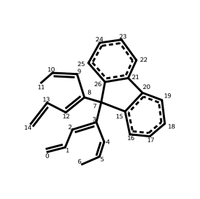 C=C/C=C(\C=C/C)C1(C(/C=C\C)=C/C=C)c2ccccc2-c2ccccc21